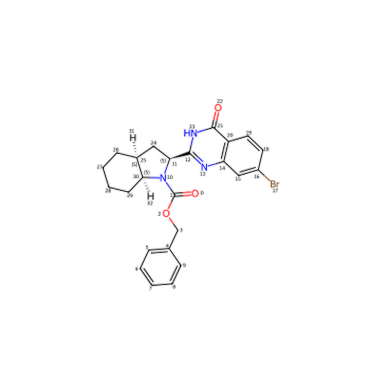 O=C(OCc1ccccc1)N1[C@H](c2nc3cc(Br)ccc3c(=O)[nH]2)C[C@@H]2CCCC[C@@H]21